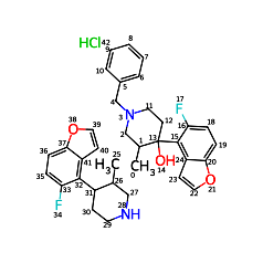 CC1CN(Cc2ccccc2)CCC1(O)c1c(F)ccc2occc12.CC1CNCCC1c1c(F)ccc2occc12.Cl